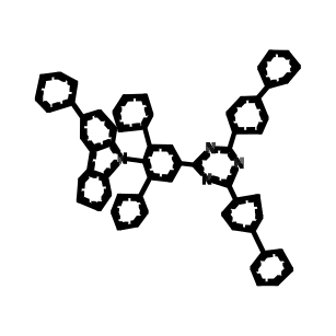 c1ccc(-c2ccc(-c3nc(-c4ccc(-c5ccccc5)cc4)nc(-c4cc(-c5ccccc5)c(-n5c6ccccc6c6cc(-c7ccccc7)ccc65)c(-c5ccccc5)c4)n3)cc2)cc1